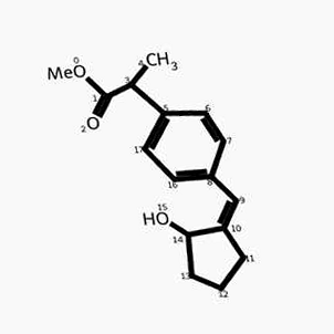 COC(=O)C(C)c1ccc(/C=C2/CCCC2O)cc1